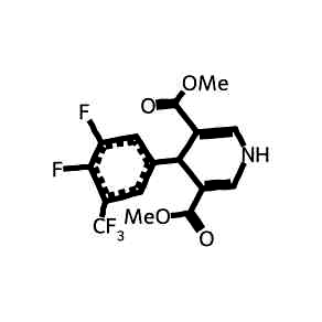 COC(=O)C1=CNC=C(C(=O)OC)C1c1cc(F)c(F)c(C(F)(F)F)c1